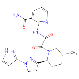 C[C@@H]1CC[C@@H](c2ccn(-c3cc[nH]n3)n2)N(C(=O)C(=O)Nc2ncccc2C(N)=O)C1